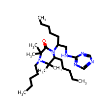 CCCCCC(CNc1ncncn1)N1C(=O)C(C)(C)N(CCCCC)C(C)(C)C1CCCCC